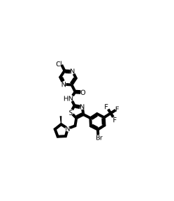 C[C@@H]1CCCN1Cc1sc(NC(=O)c2cnc(Cl)cn2)nc1-c1cc(Br)cc(C(F)(F)F)c1